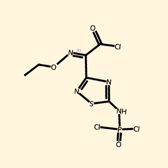 CCO/N=C(/C(=O)Cl)c1nsc(NP(=O)(Cl)Cl)n1